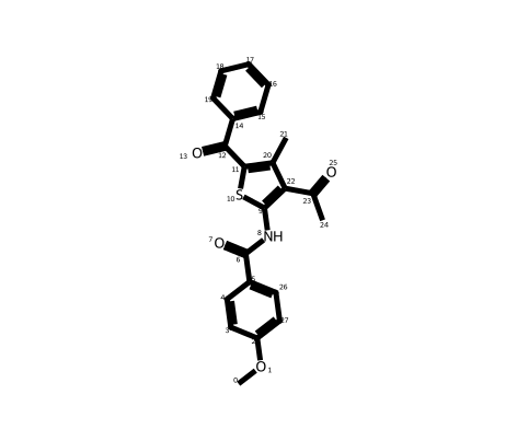 COc1ccc(C(=O)Nc2sc(C(=O)c3ccccc3)c(C)c2C(C)=O)cc1